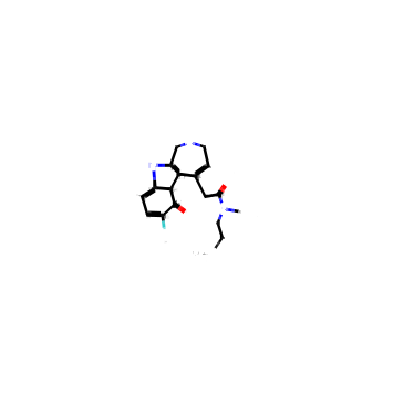 COCCN(C)C(=O)CC1=CCNCC2=C1C1C(=O)C(F)=CC=C1N2